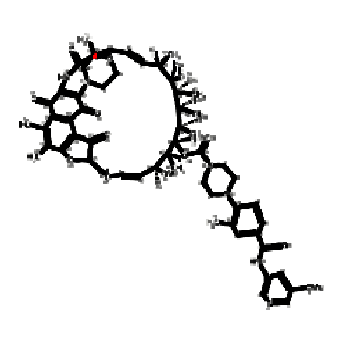 COc1cncc(NC(=O)c2ccc(N3CCN(C(=O)O[C@H]4[C@H](C)[C@H](O)[C@H](C)[C@@H](O)[C@@H](C)/C=C/C=C(/C)C(=O)NC5=C(N6CCOCC6)C(=O)c6c(c(O)c(C)c7c6C(=O)[C@@](C)(O/C=C/[C@H](OC)[C@H]4C)O7)C5=O)CC3)c(C(F)(F)F)c2)c1